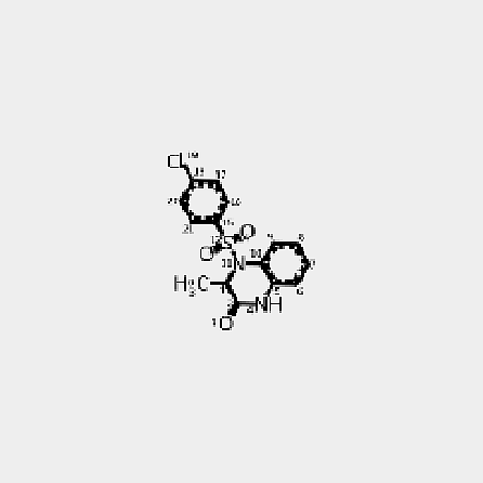 CC1C(=O)Nc2ccccc2N1S(=O)(=O)c1ccc(Cl)cc1